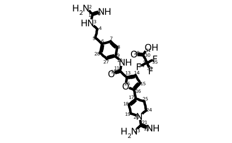 N=C(N)NCCc1ccc(NC(=O)c2ccc(C3=CCN(C(=N)N)CC3)o2)cc1.O=C(O)C(F)(F)F